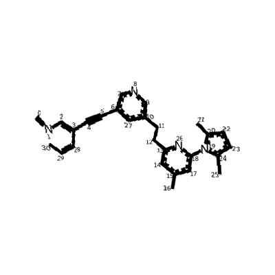 C=N/C=C(C#Cc1cncc(CCc2cc(C)cc(-n3c(C)ccc3C)n2)c1)\C=C/C